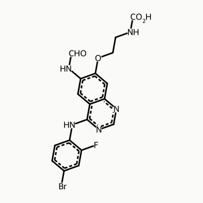 O=CNc1cc2c(Nc3ccc(Br)cc3F)ncnc2cc1OCCNC(=O)O